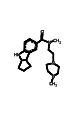 CN1CCN(CCN(C)C(=O)c2ccc3c(c2)C2CCCC2N3)CC1